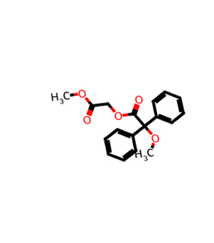 COC(=O)COC(=O)C(OC)(c1ccccc1)c1ccccc1